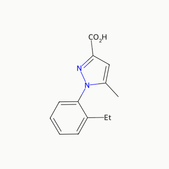 CCc1ccccc1-n1nc(C(=O)O)cc1C